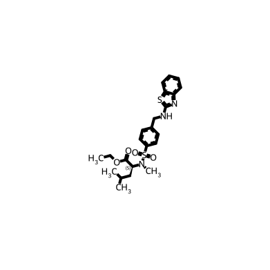 CCOC(=O)[C@H](CC(C)C)N(C)S(=O)(=O)c1ccc(CNc2nc3ccccc3s2)cc1